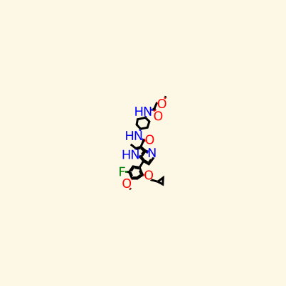 COCC(=O)NC1CCC(NC(=O)c2c(C)[nH]c3c(-c4cc(F)c(OC)cc4OCC4CC4)ccnc23)CC1